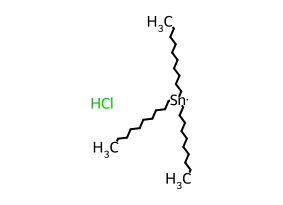 CCCCCCCCC[CH2][Sn]([CH2]CCCCCCCCC)[CH2]CCCCCCCCC.Cl